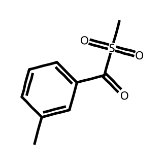 Cc1cccc(C(=O)S(C)(=O)=O)c1